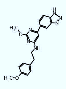 COc1ccc(CCNc2cc(-c3ccc4[nH]nnc4c3)nc(OC)n2)cc1